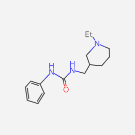 CCN1CCCC(CNC(=O)Nc2ccccc2)C1